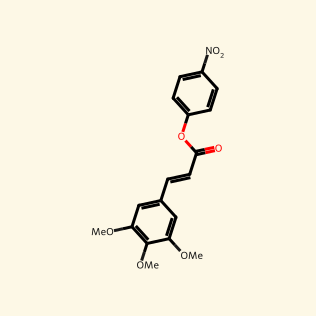 COc1cc(C=CC(=O)Oc2ccc([N+](=O)[O-])cc2)cc(OC)c1OC